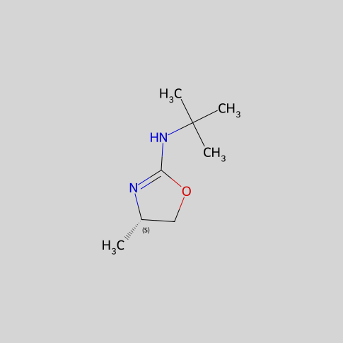 C[C@H]1COC(NC(C)(C)C)=N1